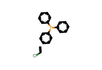 C=CCl.c1ccc(P(c2ccccc2)c2ccccc2)cc1